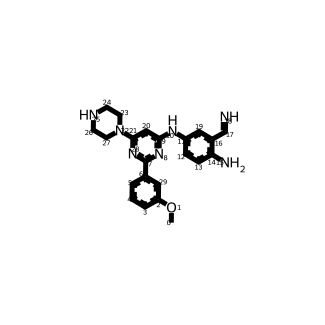 COc1cccc(-c2nc(Nc3ccc(N)c(C=N)c3)cc(N3CCNCC3)n2)c1